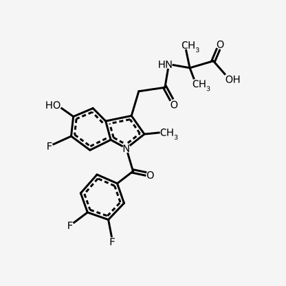 Cc1c(CC(=O)NC(C)(C)C(=O)O)c2cc(O)c(F)cc2n1C(=O)c1ccc(F)c(F)c1